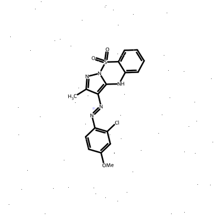 COc1ccc(/N=N/c2c(C)nn3c2Nc2ccccc2S3(=O)=O)c(Cl)c1